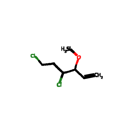 C=CC(O[SiH3])C(Cl)CCCl